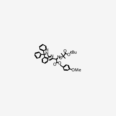 COc1ccc(COC(=O)C(=NOC(C)(C)C(=O)OC(C)(C)C)c2csc(NC(c3ccccc3)(c3ccccc3)c3ccccc3)n2)cc1